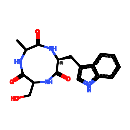 CC1NC(=O)C(CO)NC(=O)[C@H](Cc2c[nH]c3ccccc23)NC1=O